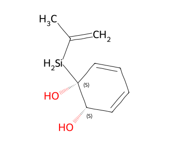 C=C(C)[SiH2][C@@]1(O)C=CC=C[C@@H]1O